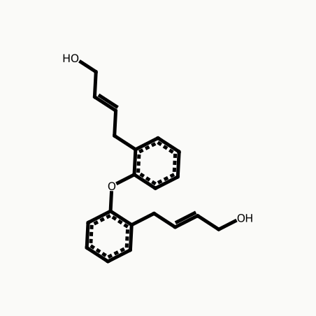 OCC=CCc1ccccc1Oc1ccccc1CC=CCO